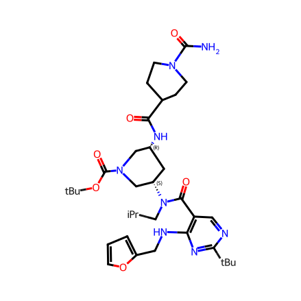 CC(C)CN(C(=O)c1cnc(C(C)(C)C)nc1NCc1ccco1)[C@H]1C[C@@H](NC(=O)C2CCN(C(N)=O)CC2)CN(C(=O)OC(C)(C)C)C1